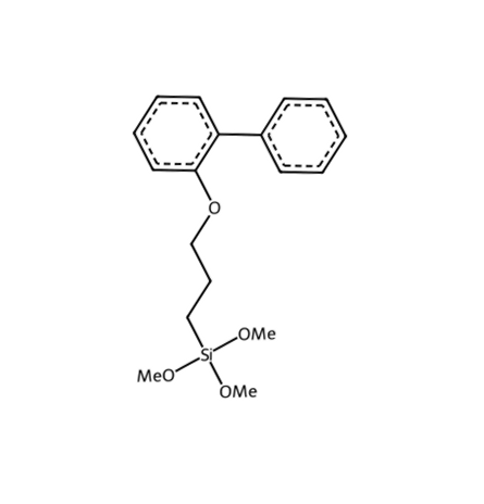 CO[Si](CCCOc1ccccc1-c1ccccc1)(OC)OC